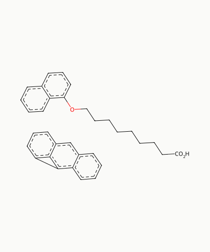 O=C(O)CCCCCCCCOc1cccc2ccccc12.c1ccc2c3c4c-3cccc4cc2c1